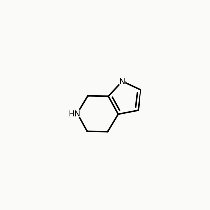 C1=CC2=C(CNCC2)[N]1